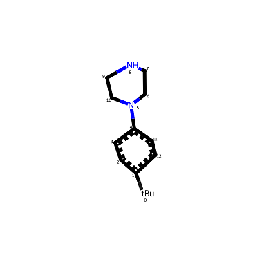 CC(C)(C)c1ccc(N2CCNCC2)cc1